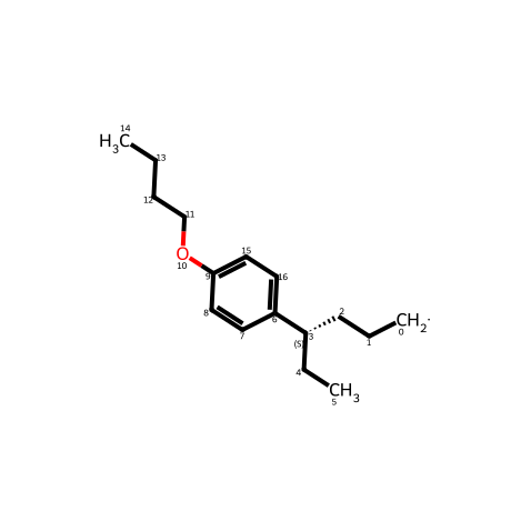 [CH2]CC[C@H](CC)c1ccc(OCCCC)cc1